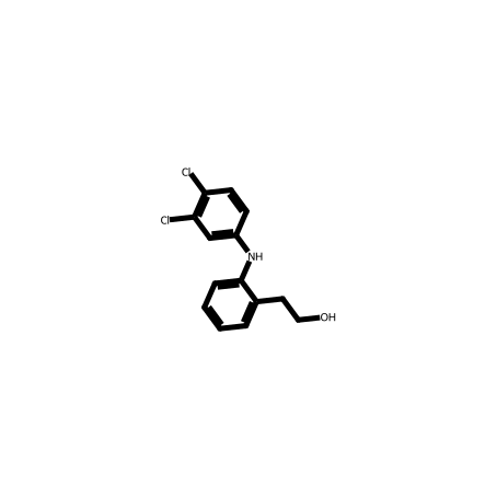 OCCc1ccccc1Nc1ccc(Cl)c(Cl)c1